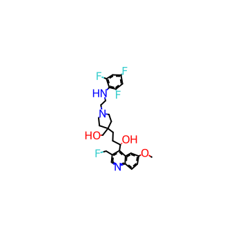 COc1ccc2ncc(CF)c([C@@H](O)CCC3(CO)CCN(CCNc4c(F)cc(F)cc4F)CC3)c2c1